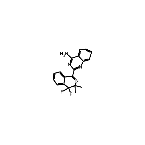 CC1(C)N=C(c2nc(N)c3ccccc3n2)c2ccccc2C1(F)F